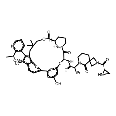 CCn1c(-c2cccnc2[C@H](C)OC)c2c3cc(ccc31)-c1cc(O)cc(c1)C[C@H](NC(=O)C(C(C)C)N1CCCC3(CN(C(=O)[C@@H]4CN4)C3)C1=O)C(=O)N1CCC[C@H](N1)C(=O)OCC(C)(C)C2